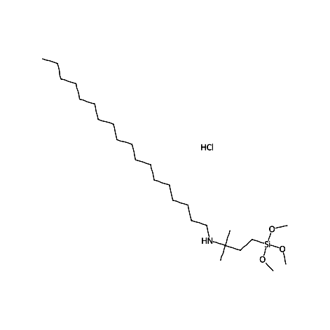 CCCCCCCCCCCCCCCCCCNC(C)(C)CC[Si](OC)(OC)OC.Cl